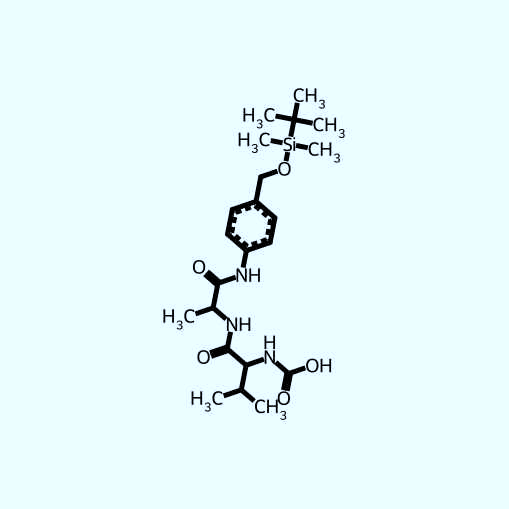 CC(NC(=O)C(NC(=O)O)C(C)C)C(=O)Nc1ccc(CO[Si](C)(C)C(C)(C)C)cc1